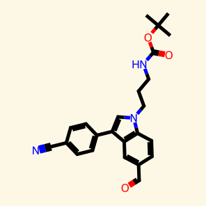 CC(C)(C)OC(=O)NCCCn1cc(-c2ccc(C#N)cc2)c2cc(C=O)ccc21